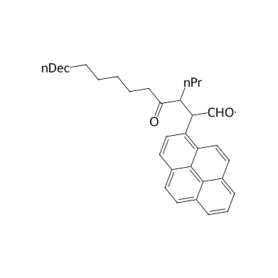 CCCCCCCCCCCCCCCC(=O)C(CCC)C([C]=O)c1ccc2ccc3cccc4ccc1c2c34